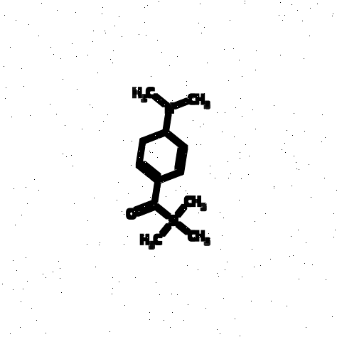 CN(C)C1C=CC(C(=O)[Si](C)(C)C)=CC1